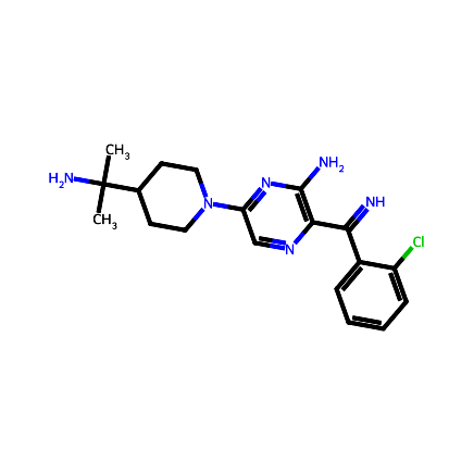 CC(C)(N)C1CCN(c2cnc(C(=N)c3ccccc3Cl)c(N)n2)CC1